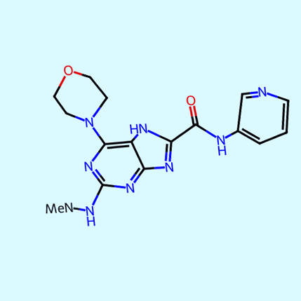 CNNc1nc(N2CCOCC2)c2[nH]c(C(=O)Nc3cccnc3)nc2n1